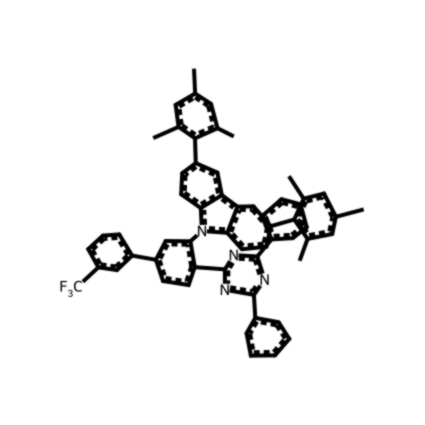 Cc1cc(C)c(-c2ccc3c(c2)c2cc(-c4c(C)cc(C)cc4C)ccc2n3-c2cc(-c3cccc(C(F)(F)F)c3)ccc2-c2nc(-c3ccccc3)nc(-c3ccccc3)n2)c(C)c1